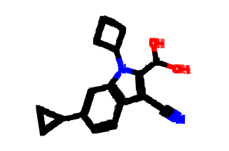 N#Cc1c(B(O)O)n(C2CCC2)c2cc(C3CC3)ccc12